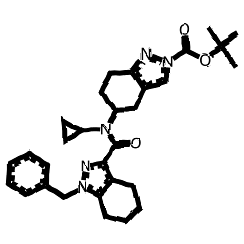 CC(C)(C)OC(=O)n1cc2c(n1)CCC(N(C(=O)c1nn(Cc3ccccc3)c3c1CCCC3)C1CC1)C2